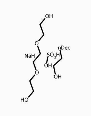 CCCCCCCCCCCCO.O=S(=O)(O)O.OCCOCCOCCO.[NaH]